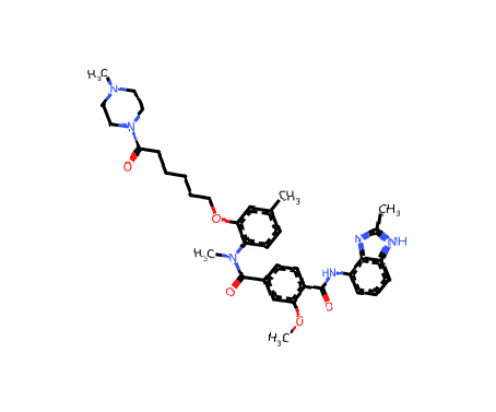 COc1cc(C(=O)N(C)c2ccc(C)cc2OCCCCCC(=O)N2CCN(C)CC2)ccc1C(=O)Nc1cccc2[nH]c(C)nc12